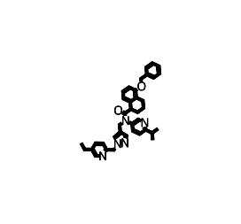 CCc1ccc(Cn2cc(CN(C(=O)C3CCCc4c(OCc5ccccc5)cccc43)c3ccc(C(C)C)nc3)cn2)nc1